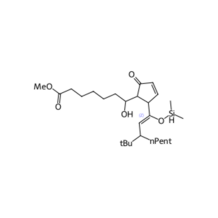 CCCCCC(/C=C(\O[SiH](C)C)C1C=CC(=O)C1C(O)CCCCCC(=O)OC)C(C)(C)C